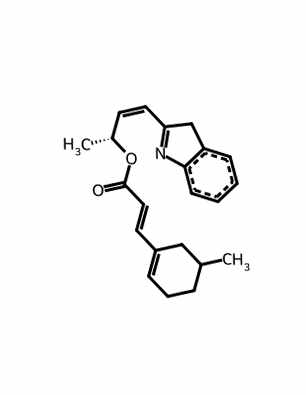 CC1CCC=C(/C=C/C(=O)O[C@H](C)/C=C\C2=Nc3ccccc3C2)C1